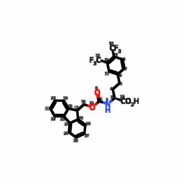 O=C(N[C@@H](CCc1ccc(C(F)(F)F)c(C(F)(F)F)c1)C(=O)O)OCC1c2ccccc2-c2ccccc21